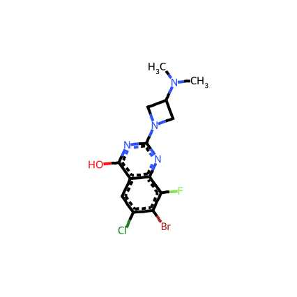 CN(C)C1CN(c2nc(O)c3cc(Cl)c(Br)c(F)c3n2)C1